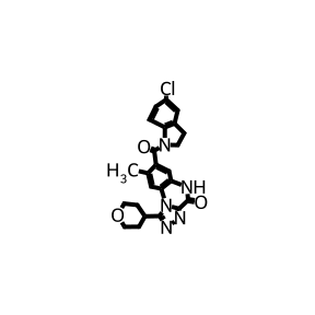 Cc1cc2c(cc1C(=O)N1CCc3cc(Cl)ccc31)[nH]c(=O)c1nnc(C3CCOCC3)n12